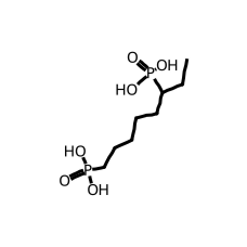 CCC(CCCCCP(=O)(O)O)P(=O)(O)O